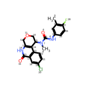 Cc1cc(NC(=O)N(C)C2COCc3[nH]c(=O)c4cc(Cl)ccc4c32)ccc1F